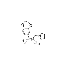 C=C(c1ccc2c(c1)OCCO2)[C@H](C)CN1CCCC1